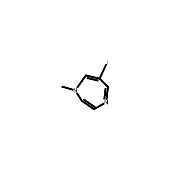 CN1C=CN=CC(I)=C1